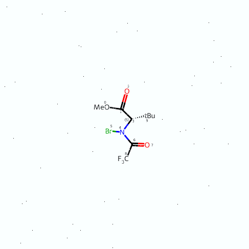 COC(=O)[C@@H](N(Br)C(=O)C(F)(F)F)C(C)(C)C